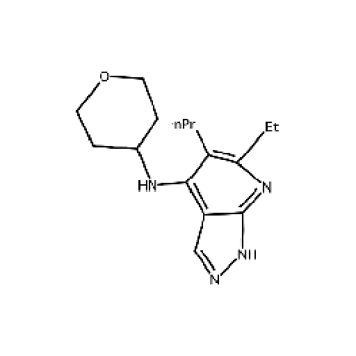 CC[CH]c1c(CC)nc2[nH]ncc2c1NC1CCOCC1